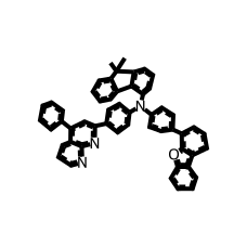 CC1(C)c2ccccc2-c2c(N(c3ccc(-c4cc(-c5ccccc5)c5cccnc5n4)cc3)c3ccc(-c4cccc5c4oc4ccccc45)cc3)cccc21